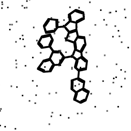 c1ccc(-c2nc(-n3c4cc(-c5ccc6ccccc6c5)ccc4c4ccc5c(sc6c5c5ccccc5n6-c5ccccc5)c43)nc3ccccc23)cc1